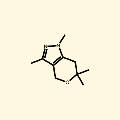 Cc1nn(C)c2c1COC(C)(C)C2